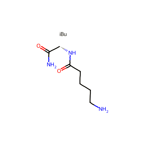 CC[C@H](C)[C@H](NC(=O)CCCCN)C(N)=O